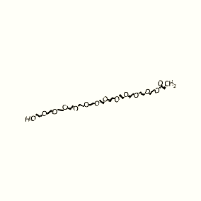 C=CC(=O)OCCOCCOCCOCCOCCOCCOCCOCCOCCOCCOCCOCCO